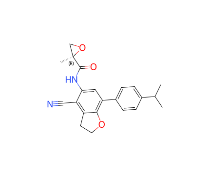 CC(C)c1ccc(-c2cc(NC(=O)[C@@]3(C)CO3)c(C#N)c3c2OCC3)cc1